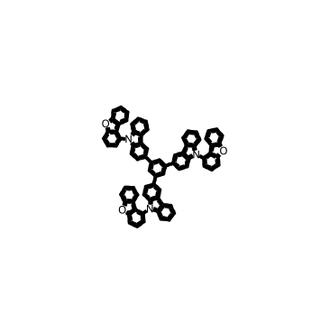 c1ccc2c(c1)oc1cccc(-n3c4ccccc4c4cc(-c5cc(-c6ccc7c(c6)c6ccccc6n7-c6cccc7oc8ccccc8c67)cc(-c6ccc7c(c6)c6ccccc6n7-c6cccc7oc8ccccc8c67)c5)ccc43)c12